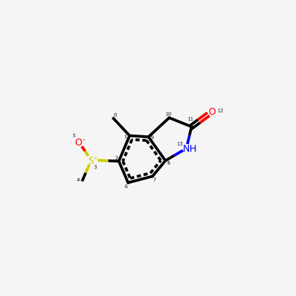 Cc1c([S+](C)[O-])ccc2c1CC(=O)N2